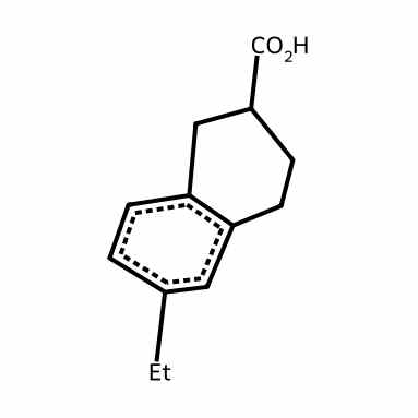 CCc1ccc2c(c1)CCC(C(=O)O)C2